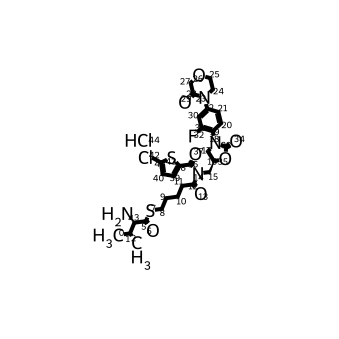 CC(C)[C@H](N)C(=O)SCCCCC(=O)N(C[C@H]1CN(c2ccc(N3CCOCC3=O)cc2F)C(=O)O1)C(=O)c1ccc(Cl)s1.Cl